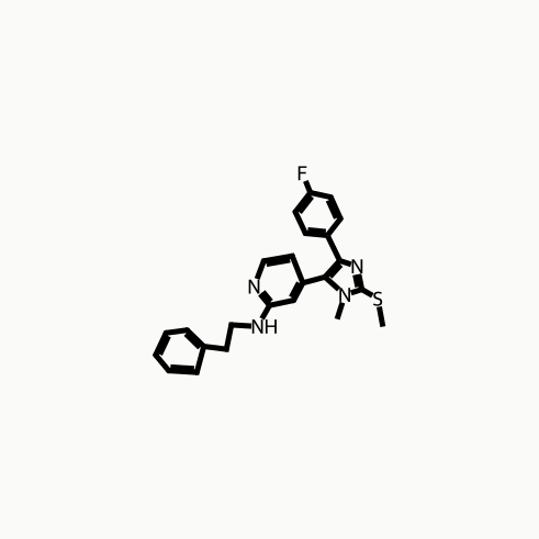 CSc1nc(-c2ccc(F)cc2)c(-c2ccnc(NCCc3ccccc3)c2)n1C